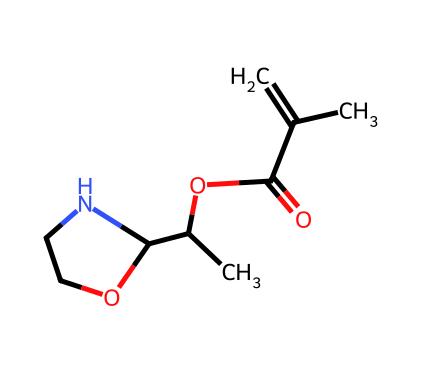 C=C(C)C(=O)OC(C)C1NCCO1